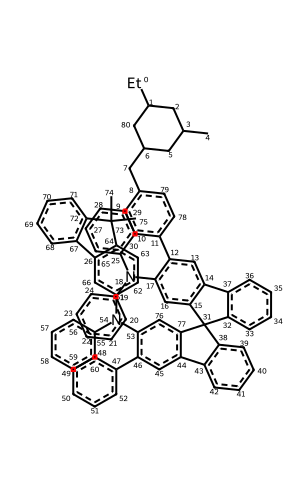 CCC1CC(C)CC(Cc2ccc(-c3cc4c(cc3N(c3ccccc3)c3ccccc3)C3(c5ccccc5-4)c4ccccc4-c4cc(-c5ccccc5)c(N(c5ccccc5)c5ccc6c(c5)-c5ccccc5C6(C)C)cc43)cc2)C1